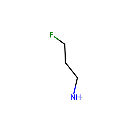 [NH]CCCF